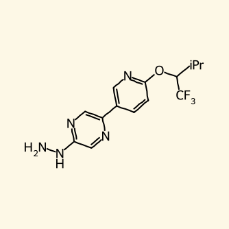 CC(C)C(Oc1ccc(-c2cnc(NN)cn2)cn1)C(F)(F)F